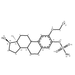 C[C@]12CCC3c4cc(OCC(F)(F)F)c(OS(N)(=O)=O)cc4CCC3C1CC[C@H]2O